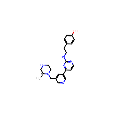 C[C@H]1CNCCN1Cc1cncc(-c2ccnc(NCCc3ccc(O)cc3)n2)c1